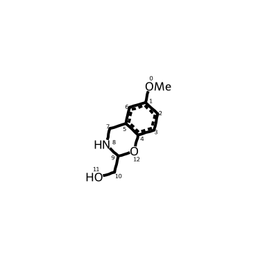 COc1ccc2c(c1)CNC(CO)O2